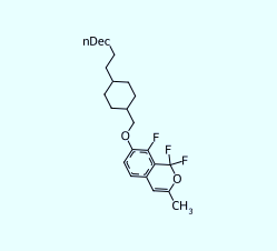 CCCCCCCCCCCCC1CCC(COc2ccc3c(c2F)C(F)(F)OC(C)=C3)CC1